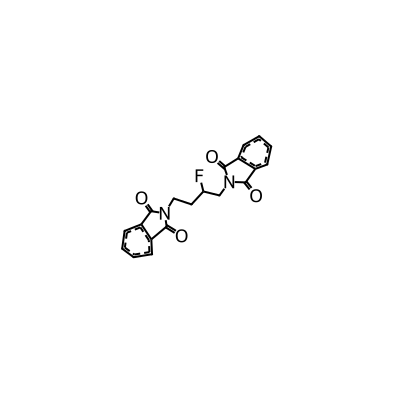 O=C1c2ccccc2C(=O)N1CCC(F)CN1C(=O)c2ccccc2C1=O